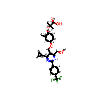 COCc1nc(-c2ccc(C(F)(F)F)cc2)nc(C2CC2)c1COc1ccc(OC(C)(C)C(=O)O)c(C)c1